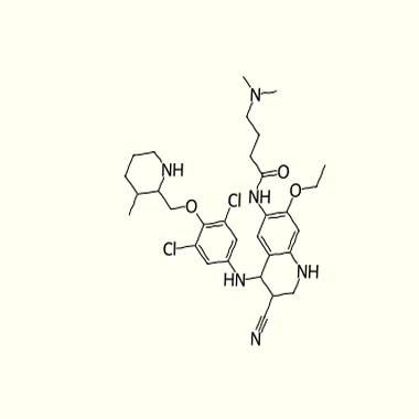 CCOc1cc2c(cc1NC(=O)CCCN(C)C)C(Nc1cc(Cl)c(OCC3NCCCC3C)c(Cl)c1)C(C#N)CN2